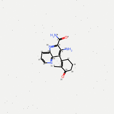 CC1=C(c2c(N)c(C(N)=O)nc3cccnc23)CCCC1=O